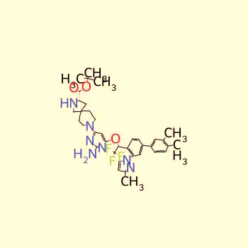 Cc1ccn(-c2cc(-c3ccc(C)c(C)c3)ccc2[C@@H](Oc2cc(N3CCC4(CC3)CN[C@H](C(=O)OC(C)(C)C)C4)nc(N)n2)C(F)(F)F)n1